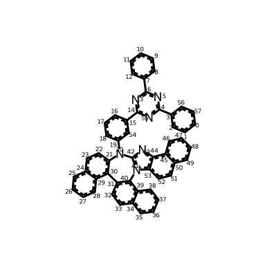 c1ccc(-c2nc(-c3ccccc3)nc(-c3cccc(N4c5ccc6ccccc6c5-c5ccc6ccccc6c5-n5c4nc4c6ccccc6ccc45)c3)n2)cc1